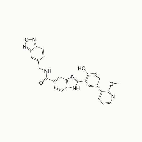 COc1ncccc1-c1ccc(O)c(-c2nc3cc(C(=O)NCc4ccc5nonc5c4)ccc3[nH]2)c1